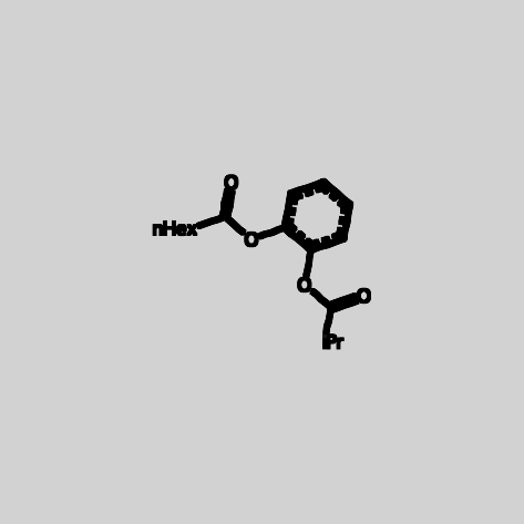 CCCCCCC(=O)Oc1ccccc1OC(=O)C(C)C